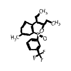 CCC1=C(CC)c2ccc(C)cc2P(=O)(c2cccc(C(F)(F)F)c2)O1